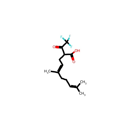 CC(C)=CCCC(C)=CCC(C(=O)O)C(=O)C(F)(F)F